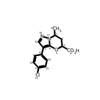 CC1CC(C(=O)O)Oc2c(-c3ccc(Cl)cc3)cnn21